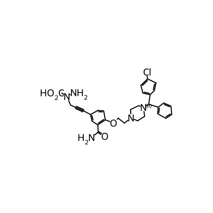 NC(=O)c1cc(C#CCN(N)C(=O)O)ccc1OCCN1CCN([C@H](c2ccccc2)c2ccc(Cl)cc2)CC1